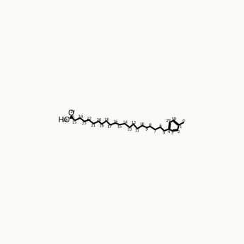 Cc1ccc(CCCCCCCCCCCCCCCCCCCCCC(=O)O)cc1